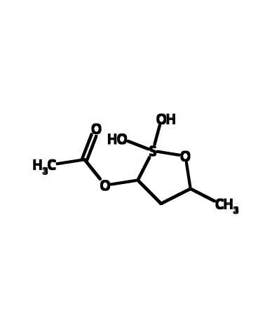 CC(=O)OC1CC(C)OS1(O)O